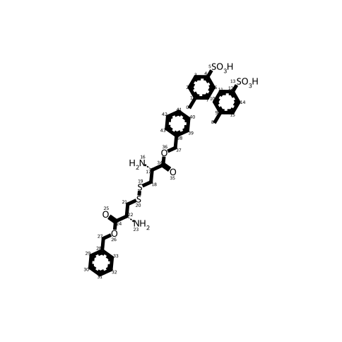 Cc1ccc(S(=O)(=O)O)cc1.Cc1ccc(S(=O)(=O)O)cc1.N[C@@H](CSSC[C@H](N)C(=O)OCc1ccccc1)C(=O)OCc1ccccc1